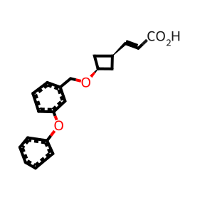 O=C(O)/C=C/[C@H]1C[C@@H](OCc2cccc(Oc3ccccc3)c2)C1